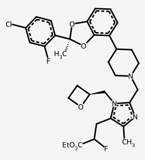 CCOC(=O)C(F)Cc1c(C)nc(CN2CCC(c3cccc4c3O[C@@](C)(c3ccc(Cl)cc3F)O4)CC2)n1C[C@@H]1CCO1